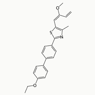 C=C/C(=C\c1sc(-c2ccc(-c3ccc(OCC)cc3)cc2)nc1C)OC